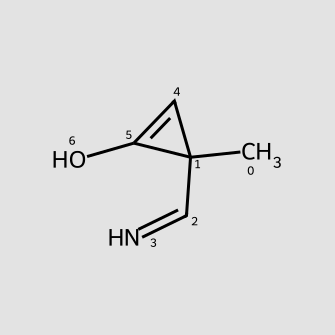 CC1(C=N)C=C1O